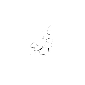 CC(C)(C)c1ccccc1Oc1ncccc1Nc1nc2cc(C(C)(C)O)ccc2[nH]1